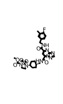 COC(=O)N1CCN([C@H]2CC[C@H](CNC(=O)c3cc(C(=O)NCc4ccc(F)c(C)c4)nc4ncnn34)CC2)S1(=O)=O